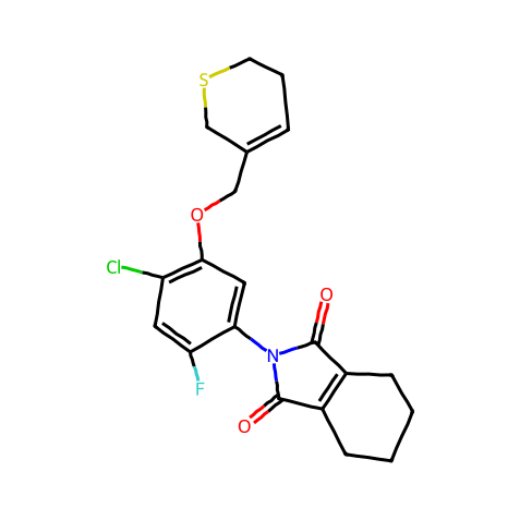 O=C1C2=C(CCCC2)C(=O)N1c1cc(OCC2=CCCSC2)c(Cl)cc1F